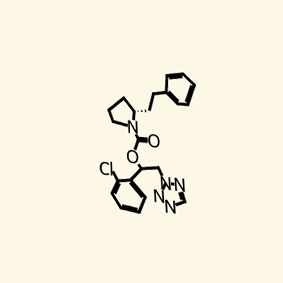 O=C(OC(Cn1ncnn1)c1ccccc1Cl)N1CCC[C@@H]1CCc1ccccc1